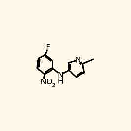 Cc1ccc(Nc2cc(F)ccc2[N+](=O)[O-])cn1